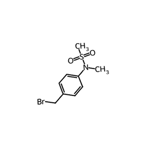 CN(c1ccc(CBr)cc1)S(C)(=O)=O